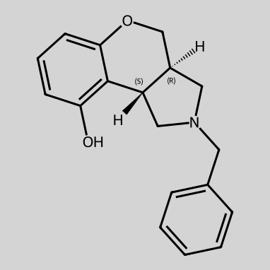 Oc1cccc2c1[C@H]1CN(Cc3ccccc3)C[C@@H]1CO2